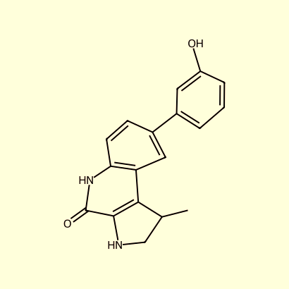 CC1CNc2c1c1cc(-c3cccc(O)c3)ccc1[nH]c2=O